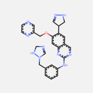 C1=NCNN1Cc1cccc(Nc2ncc3cc(C4C=NNC4)c(OCc4cnccn4)cc3n2)c1